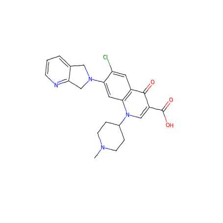 CN1CCC(n2cc(C(=O)O)c(=O)c3cc(Cl)c(N4Cc5cccnc5C4)cc32)CC1